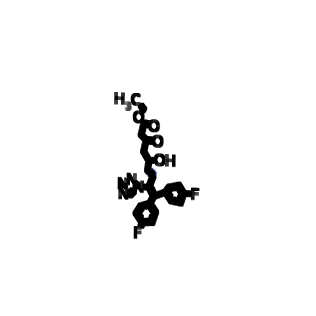 CCOC(=O)CC(=O)CC(O)/C=C/C(=C(c1ccc(F)cc1)c1ccc(F)cc1)n1cnnn1